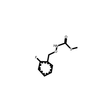 CSC(=O)NOCc1ccccc1F